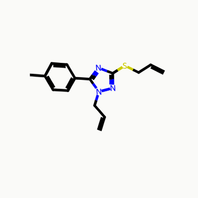 C=CCSc1nc(-c2ccc(C)cc2)n(CC=C)n1